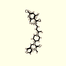 CNC(=S)N(Cc1ccsc1)C1CCN(C(C)CCNC(=O)c2c(C)cc(Cl)nc2C)CC1